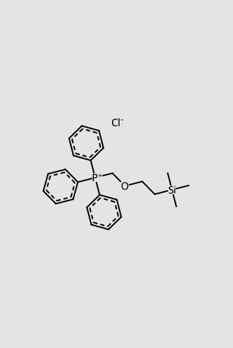 C[Si](C)(C)CCOC[P+](c1ccccc1)(c1ccccc1)c1ccccc1.[Cl-]